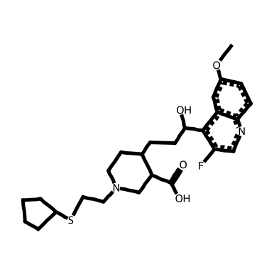 COc1ccc2ncc(F)c(C(O)CCC3CCN(CCSC4CCCC4)CC3C(=O)O)c2c1